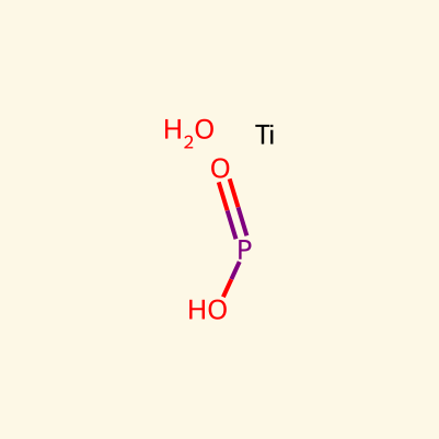 O.O=PO.[Ti]